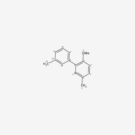 COc1ccc(C)nc1-c1cccc(C)c1